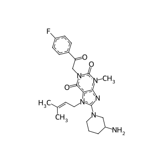 CC(C)=CCn1c(N2CCCC(N)C2)nc2c1c(=O)n(CC(=O)c1ccc(F)cc1)c(=O)n2C